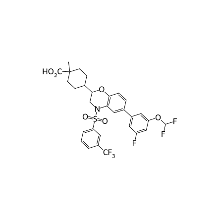 CC1(C(=O)O)CCC(C2CN(S(=O)(=O)c3cccc(C(F)(F)F)c3)c3cc(-c4cc(F)cc(OC(F)F)c4)ccc3O2)CC1